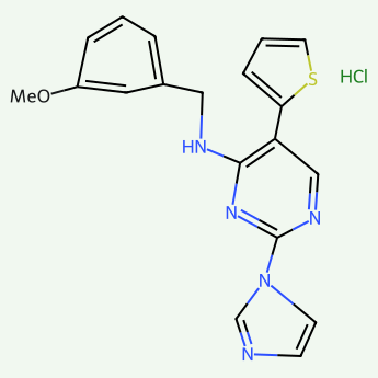 COc1cccc(CNc2nc(-n3ccnc3)ncc2-c2cccs2)c1.Cl